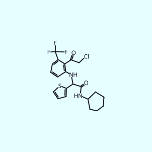 O=C(CCl)c1c(NC(C(=O)NC2CCCCC2)c2cccs2)cccc1C(F)(F)F